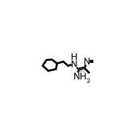 C=N/C(C)=C(/N)NCCC1CCCCC1